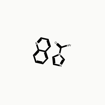 CCCC(=O)n1ccnc1.c1ccc2ncccc2c1